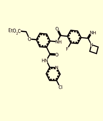 CCOC(=O)COc1ccc(NC(=O)c2ccc(C(=N)N3CCC3)cc2F)c(C(=O)Nc2ccc(Cl)cn2)c1